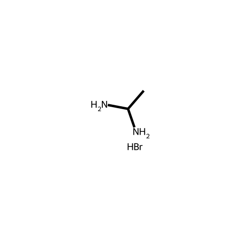 Br.CC(N)N